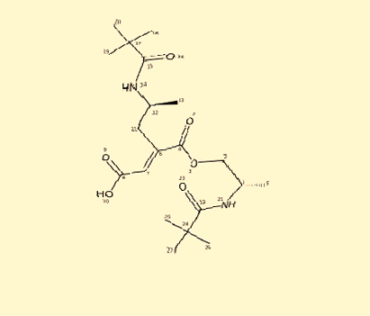 C[C@@H](COC(=O)C(=CC(=O)O)C[C@H](C)NC(=O)C(C)(C)C)NC(=O)C(C)(C)C